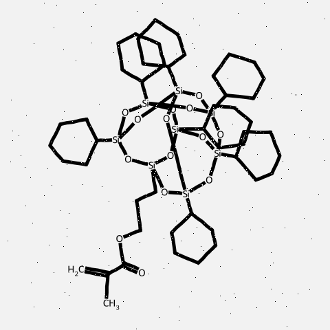 C=C(C)C(=O)OCCC[Si]12O[Si]3(C4CCCCC4)O[Si]4(C5CCCCC5)O[Si](C5CCCCC5)(O1)O[Si]1(C5CCCCC5)O[Si](C5CCCCC5)(O2)O[Si](C2CCCCC2)(O3)O[Si](C2CCCCC2)(O4)O1